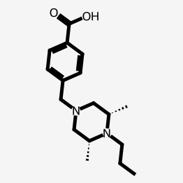 CCCN1[C@H](C)CN(Cc2ccc(C(=O)O)cc2)C[C@@H]1C